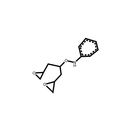 c1ccc(NOC(CC2CO2)CC2CO2)cc1